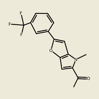 CC(=O)c1cc2oc(-c3cccc(C(F)(F)F)c3)cc2n1C